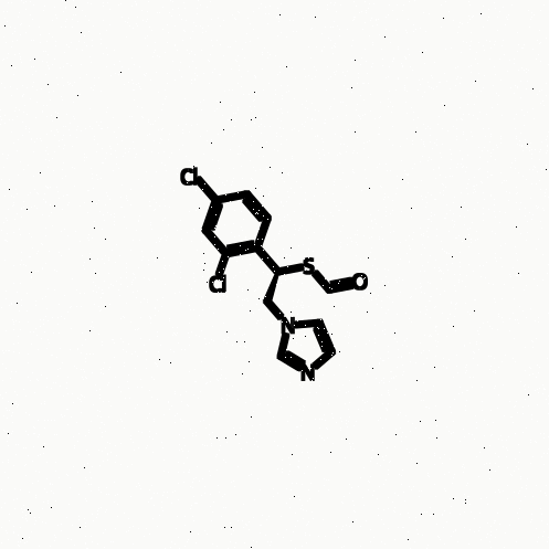 O=CS[C@@H](Cn1ccnc1)c1ccc(Cl)cc1Cl